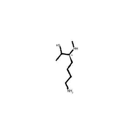 CN[C@@H](CCCCN)C(C)S